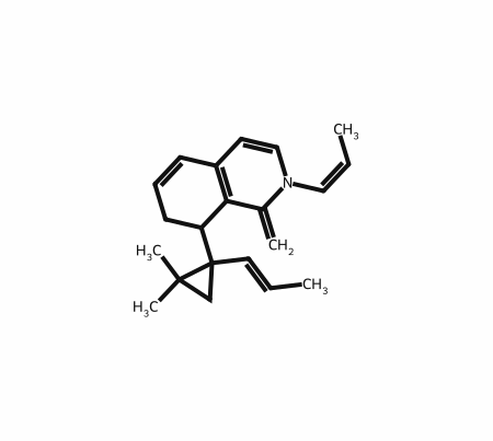 C=C1C2=C(C=CCC2C2(C=CC)CC2(C)C)C=CN1/C=C\C